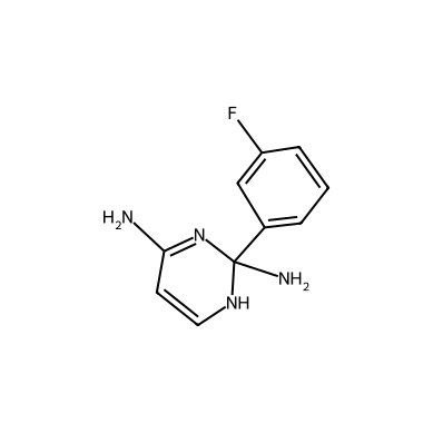 NC1=NC(N)(c2cccc(F)c2)NC=C1